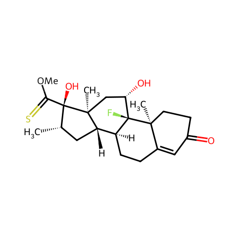 COC(=S)[C@@]1(O)[C@@H](C)C[C@H]2[C@@H]3CCC4=CC(=O)CC[C@]4(C)[C@@]3(F)[C@@H](O)C[C@@]21C